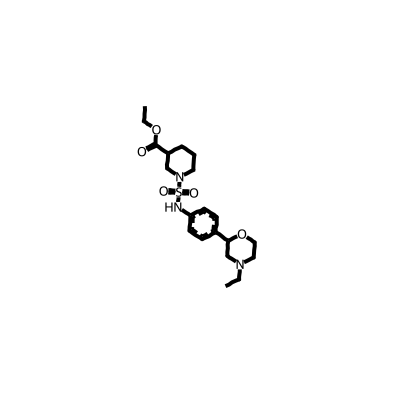 CCOC(=O)C1CCCN(S(=O)(=O)Nc2ccc(C3CN(CC)CCO3)cc2)C1